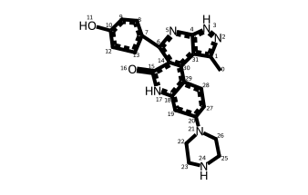 Cc1n[nH]c2nc(-c3ccc(O)cc3)c3c(=O)[nH]c4cc(N5CCNCC5)ccc4c3c12